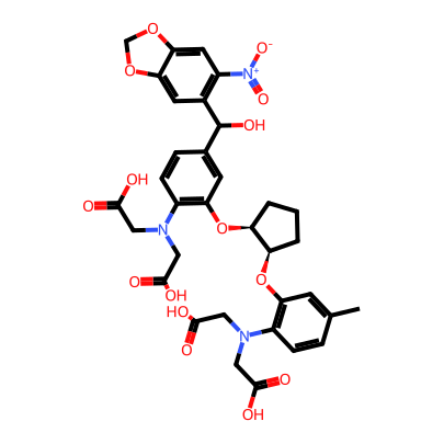 Cc1ccc(N(CC(=O)O)CC(=O)O)c(O[C@@H]2CCC[C@@H]2Oc2cc(C(O)c3cc4c(cc3[N+](=O)[O-])OCO4)ccc2N(CC(=O)O)CC(=O)O)c1